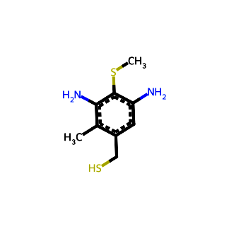 CSc1c(N)cc(CS)c(C)c1N